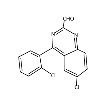 O=Cc1nc(-c2ccccc2Cl)c2cc(Cl)ccc2n1